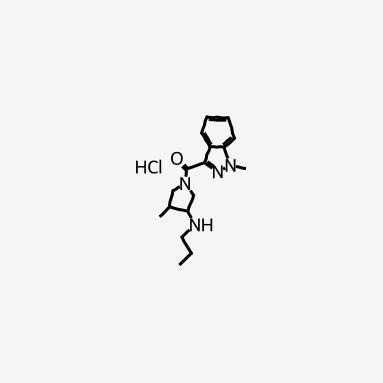 CCCNC1CN(C(=O)c2nn(C)c3ccccc23)CC1C.Cl